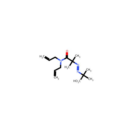 C=CCN(CC=C)C(=O)C(C)(C)/N=N/C(C)(C)C(=O)O